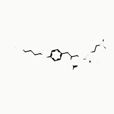 CCCCCCCCCCCCCCOc1ccc(CC(COP(O)OCCN(C)C)OC(=O)CC)cc1